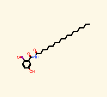 CCCCCCCCCCCCCCCCCC(=O)NC(=O)c1cc(O)ccc1I=O